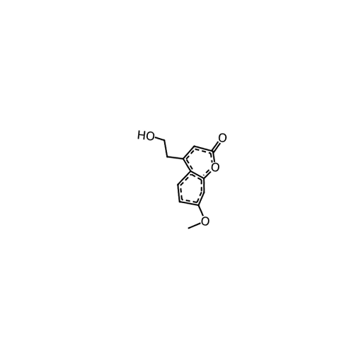 COc1ccc2c(CCO)cc(=O)oc2c1